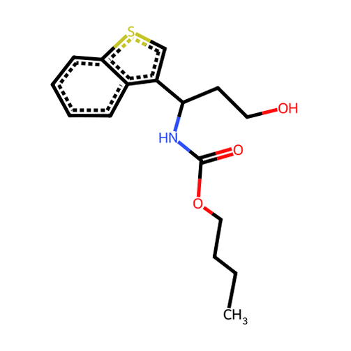 CCCCOC(=O)NC(CCO)c1csc2ccccc12